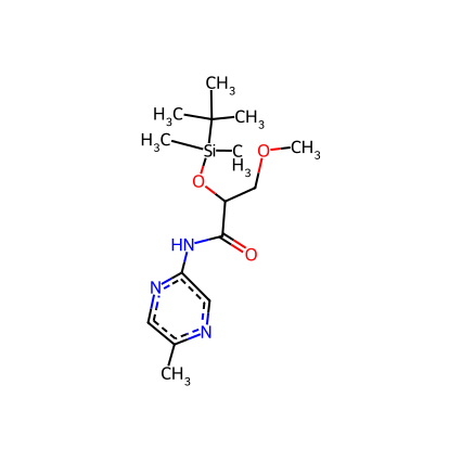 COCC(O[Si](C)(C)C(C)(C)C)C(=O)Nc1cnc(C)cn1